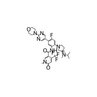 CC(C)N(C)[C@@H]1CCN(c2cc(F)c(-c3cnc(N4CCOCC4)nc3)cc2NC(=O)c2cn(C)c(=O)cc2C(F)(F)F)C1